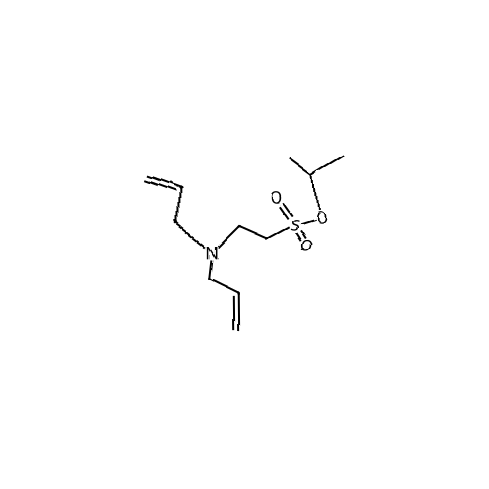 C=CCN(CC=C)CCS(=O)(=O)OC(C)C